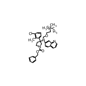 Cc1c(Cl)cccc1C1(N(COCC[Si](C)(C)C)c2ccc3cccnc3c2)CCN(C(=O)OCc2ccccc2)C1